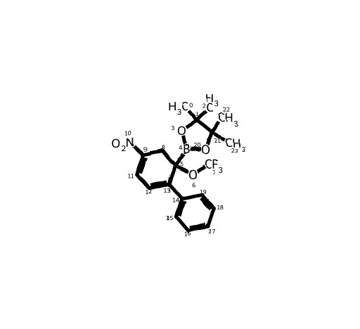 CC1(C)OB(C2(OC(F)(F)F)CC([N+](=O)[O-])=CC=C2c2ccccc2)OC1(C)C